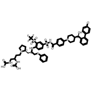 O=C(O)NCC(CCN1CCC[C@H]1C[C@H](CSc1ccccc1)Nc1ccc(S(=O)(=O)NC(=O)c2ccc(N3CCC([C@@H](O)c4ccccc4-c4ccc(Cl)cc4)CC3)cc2)cc1S(=O)(=O)C(F)(F)F)NC(=O)O